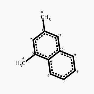 Cc1cc(C)c2cc[c]cc2c1